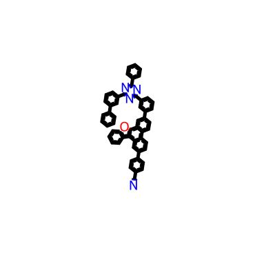 N#Cc1ccc(-c2ccc3c4ccc(-c5cccc(-c6nc(-c7ccccc7)nc(-c7cccc(-c8ccccc8)c7)n6)c5)cc4c4oc5ccccc5c4c3c2)cc1